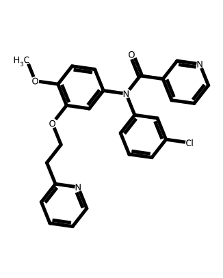 COc1ccc(N(C(=O)c2cccnc2)c2cccc(Cl)c2)cc1OCCc1ccccn1